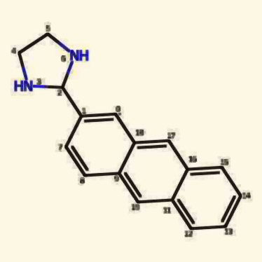 [c]1c(C2NCCN2)ccc2cc3ccccc3cc12